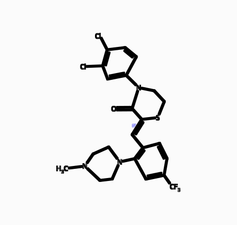 CN1CCN(c2cc(C(F)(F)F)ccc2/C=C2\SCCN(c3ccc(Cl)c(Cl)c3)C2=O)CC1